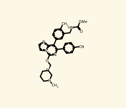 COC(=O)NCc1cc(-c2c(-c3ccc(C#N)cc3)nc(OC[C@@H]3CCCN(C)C3)n3ccnc23)ccc1C